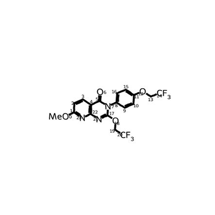 COc1ccc2c(=O)n(-c3ccc(OCC(F)(F)F)cc3)c(OCC(F)(F)F)nc2n1